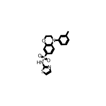 Cc1cccc(N2CCOc3cc(S(=O)(=O)Nc4nccs4)ccc32)c1